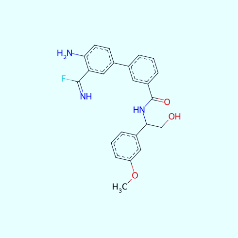 COc1cccc(C(CO)NC(=O)c2cccc(-c3ccc(N)c(C(=N)F)c3)c2)c1